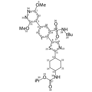 COc1cc(-c2ccc(-c3cnc(C4CCC(NC(=O)OC(C)C)CC4)s3)c(S(=O)(=O)NC(C)(C)C)c2)c(OC)nn1